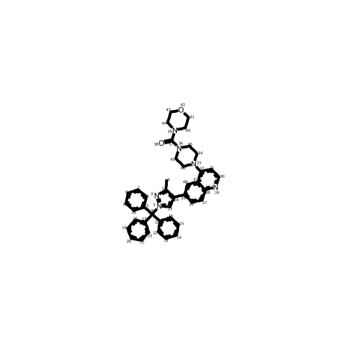 Cc1nn(C(c2ccccc2)(c2ccccc2)c2ccccc2)cc1-c1ccc2nccc(N3CCN(C(=O)N4CCOCC4)CC3)c2c1